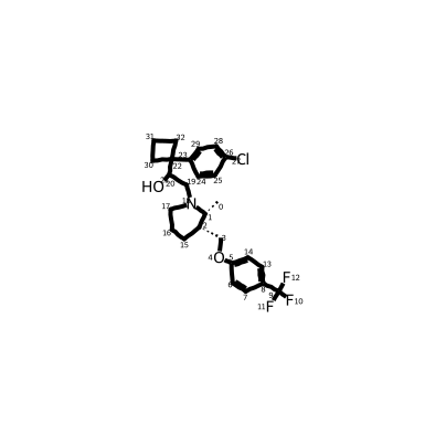 C[C@@H]1[C@H](COc2ccc(C(F)(F)F)cc2)CCCN1CC(O)C1(c2ccc(Cl)cc2)CCC1